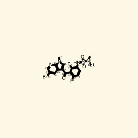 CCN(C)S(=O)(=O)Nc1ccc(F)c(C(=O)c2cn(C)c3ncc(Br)cc23)c1F